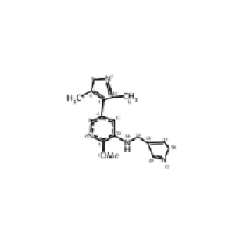 COc1ncc(C2=C(C)CN=C2C)cc1NCC1=CCN=C1